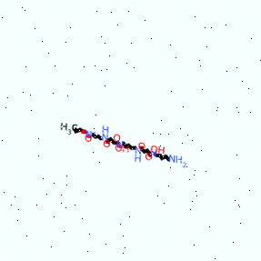 CCCC/C=[N+](\[O-])CCCCNC(=O)CCC(=O)N(O)CCCCCNC(=O)CCC(=O)N(O)CCCCCN